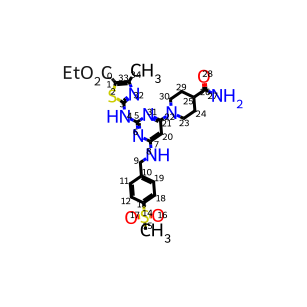 CCOC(=O)c1sc(Nc2nc(NCc3ccc(S(C)(=O)=O)cc3)cc(N3CCC(C(N)=O)CC3)n2)nc1C